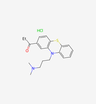 CCC(=O)c1ccc2c(c1)N(CCCN(C)C)c1ccccc1S2.Cl